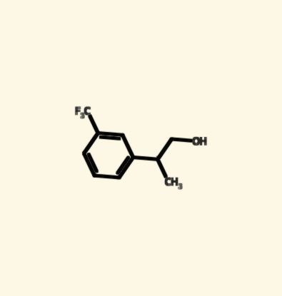 C[C](CO)c1cccc(C(F)(F)F)c1